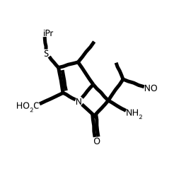 CC(C)SC1=C(C(=O)O)N2C(=O)C(N)(C(C)N=O)C2C1C